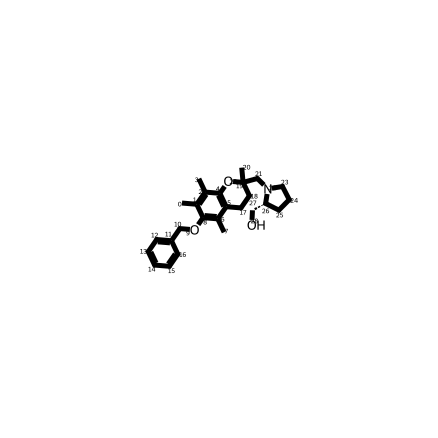 Cc1c(C)c2c(c(C)c1OCc1ccccc1)CCC(C)(CN1CCC[C@@H]1CO)O2